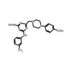 CNc1nc(CN2CCN(c3ccc(OC)cc3)CC2)nc(Nc2cccc(C)c2)n1